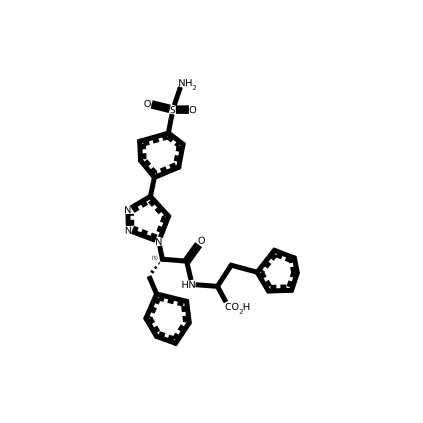 NS(=O)(=O)c1ccc(-c2cn([C@@H](Cc3ccccc3)C(=O)NC(Cc3ccccc3)C(=O)O)nn2)cc1